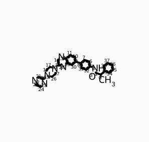 CC(C(=O)Nc1ccc(-c2ccc3ncc(N4CCN(c5cnccn5)CC4)nc3c2)cc1)c1ccccc1